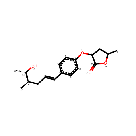 CC1CC(Oc2ccc(/C=C/C[C@@H](C)[C@H](C)O)cc2)C(=O)O1